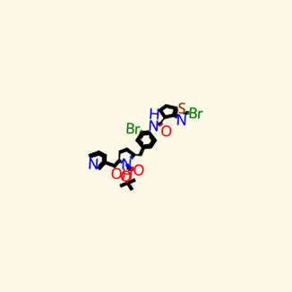 CC(C)(C)OC(=O)N1[C@H](Cc2ccc(NC(=O)[C@H]3CCc4sc(Br)nc43)c(Br)c2)CC[C@@H]1[C@H](O)c1cccnc1